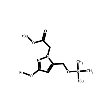 CC(C)Oc1cc(CO[Si](C)(C)C(C)(C)C)n(CC(=O)OC(C)(C)C)n1